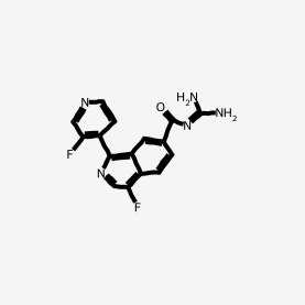 NC(N)=NC(=O)c1ccc2c(F)cnc(-c3ccncc3F)c2c1